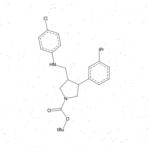 CC(C)c1cccc(C2CN(C(=O)OC(C)(C)C)CC2CNc2ccc(Cl)cc2)c1